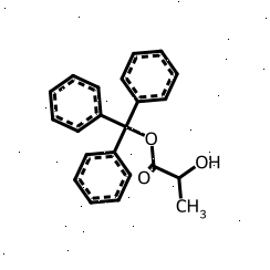 CC(O)C(=O)OC(c1ccccc1)(c1ccccc1)c1ccccc1